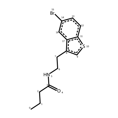 CCCC(=O)NCCc1csc2ccc(Br)cc12